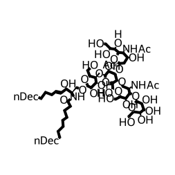 CCCCCCCCCCCCC/C=C/[C@H](O)[C@@H](CO[C@@H]1OC(CO)[C@@H](O[C@@H]2OC(CO)[C@H](O[C@@H]3OC(CO)[C@H](O)C(O[C@@H]4OC(CO)[C@H](O)C(O)[C@@H]4O)[C@@H]3NC(C)=O)C(O[C@]3(C(C)=O)C[C@@H](O)[C@@H](NC(C)=O)C([C@H](O)[C@H](O)CO)O3)[C@@H]2O)[C@H](O)C1O)NC(=O)CCCCCCCCCCCCCCCCC